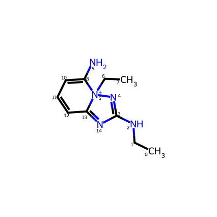 CCNC1=N[N+]2(CC)C(N)=CC=CC2=N1